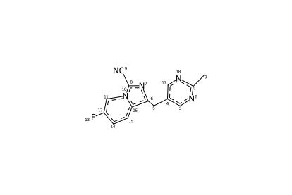 Cc1ncc(Cc2nc(C#N)n3cc(F)ccc23)cn1